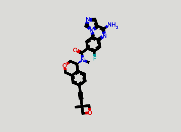 CN(C(=O)c1cc2c(cc1F)nc(N)c1cncn12)[C@@H]1COCc2cc(C#CC3(C)COC3)ccc21